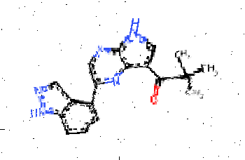 CC(C)(C)C(=O)c1c[nH]c2ncc(-c3cccc4[nH]ncc34)nc12